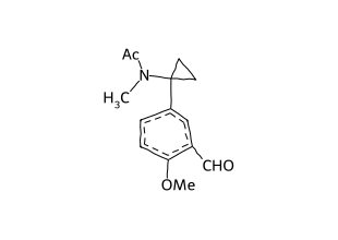 COc1ccc(C2(N(C)C(C)=O)CC2)cc1C=O